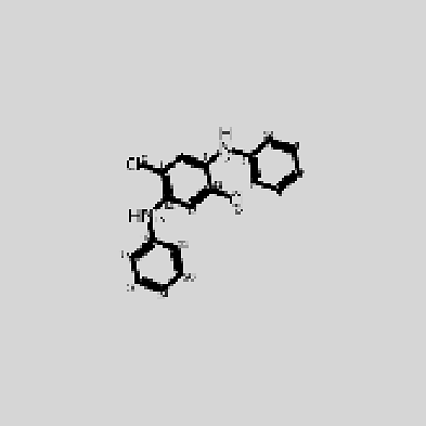 Clc1cc(Nc2ccccc2)c(Cl)cc1Nc1ccccc1